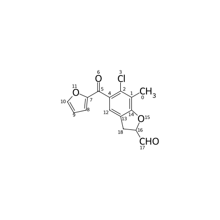 Cc1c(Cl)c(C(=O)c2ccco2)cc2c1OC(C=O)C2